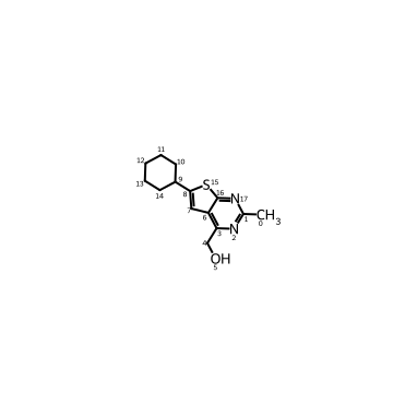 Cc1nc(CO)c2cc(C3CCCCC3)sc2n1